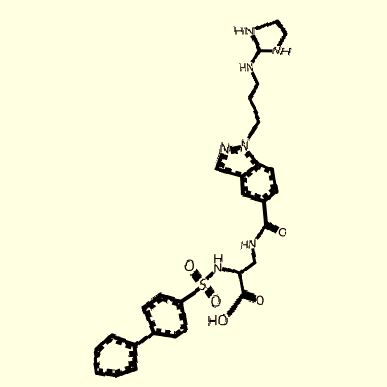 O=C(NCC(NS(=O)(=O)c1ccc(-c2ccccc2)cc1)C(=O)O)c1ccc2c(cnn2CCCNC2NCCN2)c1